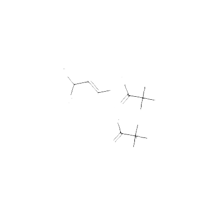 CC(C)(C)C(=O)O.CC(C)(C)C(=O)O.CC=CC(O)O